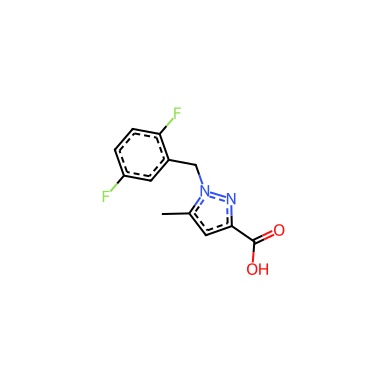 Cc1cc(C(=O)O)nn1Cc1cc(F)ccc1F